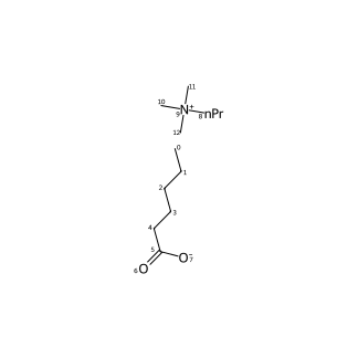 CCCCCC(=O)[O-].CCC[N+](C)(C)C